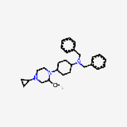 CC1CN(C2CC2)CCN1C1CCC(N(Cc2ccccc2)Cc2ccccc2)CC1